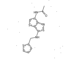 CC(=O)Nc1csc2c(NCc3cccs3)snc12